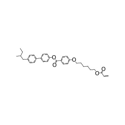 C=CC(=O)OCCCCCCOc1ccc(C(=O)Oc2ccc(-c3ccc(CC(C)CC)cc3)cc2)cc1